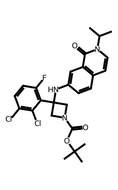 CC(C)n1ccc2ccc(NC3(c4c(F)ccc(Cl)c4Cl)CN(C(=O)OC(C)(C)C)C3)cc2c1=O